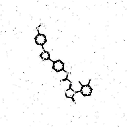 Cc1cccc(N2C(=O)CS/C2=N\C(=O)Nc2ccc(-c3ncn(-c4ccc(OC(F)(F)F)cc4)n3)cc2)c1C